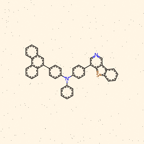 c1ccc(N(c2ccc(-c3cc4ccccc4c4ccccc34)cc2)c2ccc(-c3cncc4c3sc3ccccc34)cc2)cc1